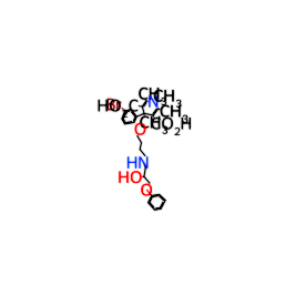 CC1=C(C(=O)O)C(C)(c2cc(Br)ccc2OCCCCNCC(O)COc2ccccc2)C(C(=O)O)=C(C)N1C